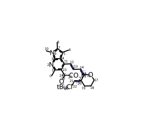 Cc1nc2c(c(C)c(C)n2C)c(/C=C/C=C2/OCCC/C2=C\Cl)c1[C@H](OC(C)(C)C)C(=O)O